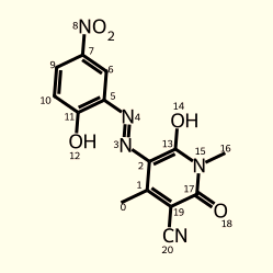 Cc1c(N=Nc2cc([N+](=O)[O-])ccc2O)c(O)n(C)c(=O)c1C#N